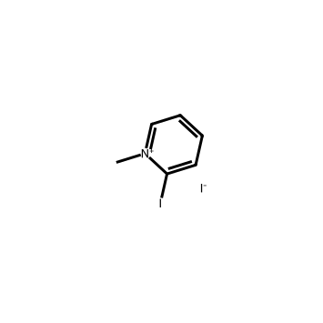 C[n+]1ccccc1I.[I-]